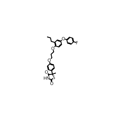 CCCc1cc(Oc2ccc(F)cc2)ccc1OCCCOc1ccc(C2(C)SC(=O)NC2=O)cc1